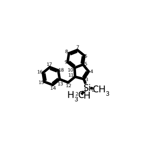 C[SiH](C)C1=Cc2ccccc2C1Cc1ccccc1